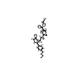 CCCCc1ccc(C2CCC(=O)N2CCSc2nc(C(=O)OCC)cs2)cc1